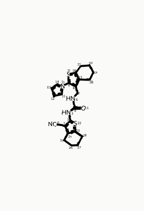 N#Cc1c(NC(=O)NCc2c(-n3cccc3)sc3c2CCCC3)sc2c1CCCC2